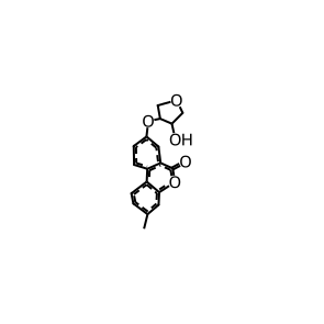 Cc1ccc2c(c1)oc(=O)c1cc(OC3COCC3O)ccc12